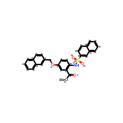 COC(=O)c1cc(OCc2ccc3ccccc3c2)ccc1NS(=O)(=O)c1ccc2ccccc2c1